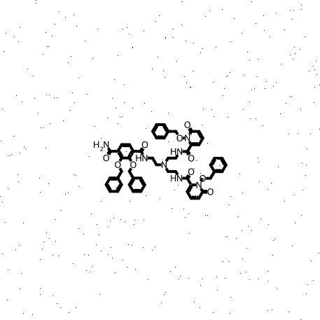 NC(=O)c1ccc(C(=O)NCCN(CCNC(=O)c2cccc(=O)n2OCc2ccccc2)CCNC(=O)c2cccc(=O)n2OCc2ccccc2)c(OCc2ccccc2)c1OCc1ccccc1